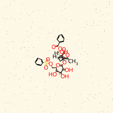 C[C@]12C[C@H](O)[C@H]3C[C@@]1(O[C@@H]1OC(COS(=O)(=O)c4ccccc4)[C@@H](O)[C@H](O)[C@@H]1O)[C@]3(COC(=O)c1ccccc1)C(=O)O2